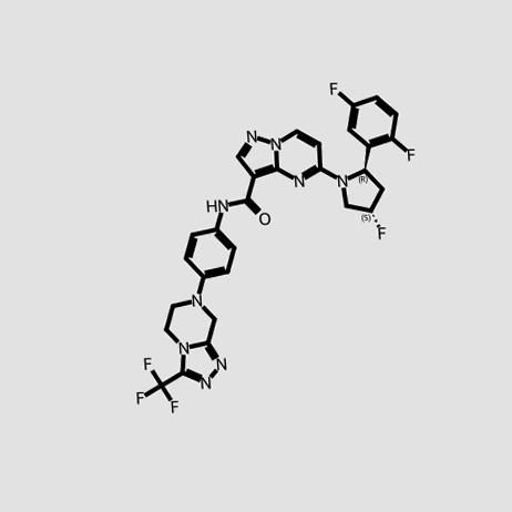 O=C(Nc1ccc(N2CCn3c(nnc3C(F)(F)F)C2)cc1)c1cnn2ccc(N3C[C@@H](F)C[C@@H]3c3cc(F)ccc3F)nc12